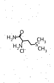 C[S+](C)CCC(N)C(N)=O.[Cl-]